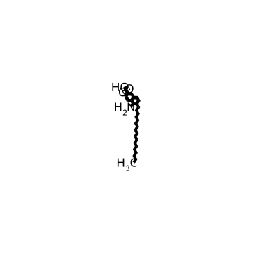 CCCCCCCCCCCCCCCCCCc1ccc2cc(S(=O)(=O)O)ccc2c1N